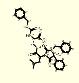 CC(C)CC(C(=O)NC[C@H](NC(=O)OCc1ccccc1)C(=O)O)N1C(=O)N(Cc2ccccc2)[C@@](C)(c2ccccc2)C1=O